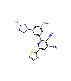 COc1cc(-c2nc(-c3nccs3)cc(N)c2C#N)cc(N2CC[C@H](O)C2)c1